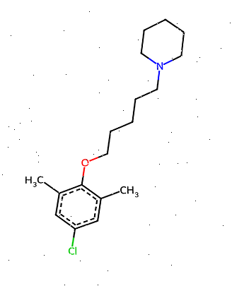 Cc1cc(Cl)cc(C)c1OCCCCCN1CCCCC1